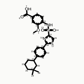 COc1cc(C(=O)O)ccc1NS(=O)(=O)c1csc(-c2ccc(C3CCCC(C)(C)C3)cc2)n1